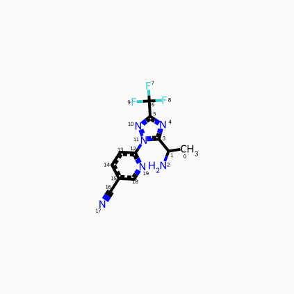 CC(N)c1nc(C(F)(F)F)nn1-c1ccc(C#N)cn1